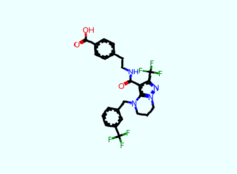 O=C(O)c1ccc(CCNC(=O)c2c(C(F)(F)F)nn3c2N(Cc2cccc(C(F)(F)F)c2)CCC3)cc1